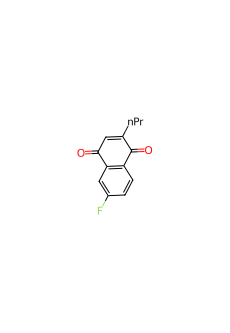 CCCC1=CC(=O)c2cc(F)ccc2C1=O